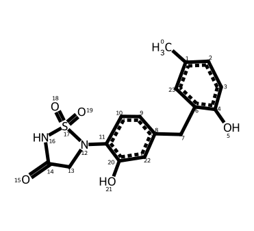 Cc1ccc(O)c(Cc2ccc(N3CC(=O)NS3(=O)=O)c(O)c2)c1